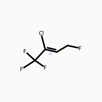 FC/C=C(\Cl)C(F)(F)F